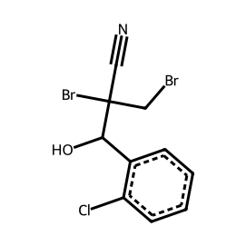 N#CC(Br)(CBr)C(O)c1ccccc1Cl